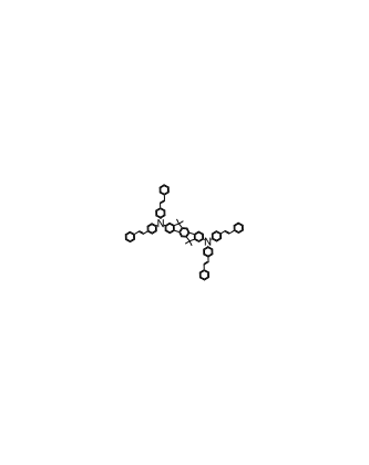 CC1(C)c2cc(N(c3ccc(C=Cc4ccccc4)cc3)c3ccc(C=Cc4ccccc4)cc3)ccc2-c2cc3c(cc21)-c1ccc(N(c2ccc(C=Cc4ccccc4)cc2)c2ccc(C=Cc4ccccc4)cc2)cc1C3(C)C